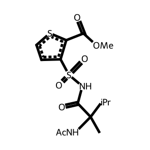 COC(=O)c1sccc1S(=O)(=O)NC(=O)C(C)(NC(C)=O)C(C)C